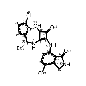 CC[C@@H](NC1=C(Nc2ccc(Cl)c3c2C(=O)NC3)C(=O)C1O)c1ccc(Cl)o1